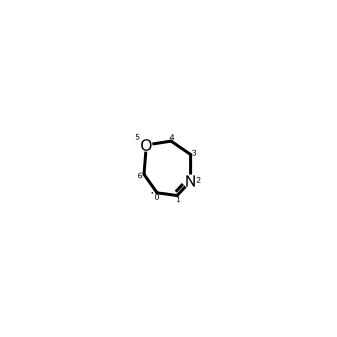 [CH]1C=NCCOC1